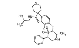 C[C@@H]1NC[C@@H](c2ccccc2)S(=O)(=O)C1Cc1ccc(C2(C(=O)NC[C@@H](C)O)CCOCC2)cc1F